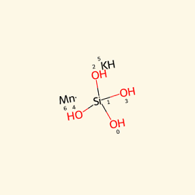 O[Si](O)(O)O.[KH].[Mn]